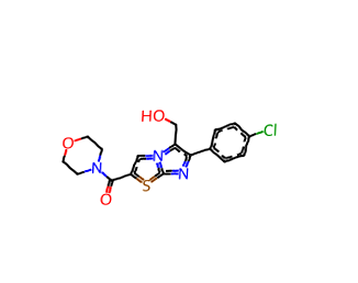 O=C(c1cn2c(CO)c(-c3ccc(Cl)cc3)nc2s1)N1CCOCC1